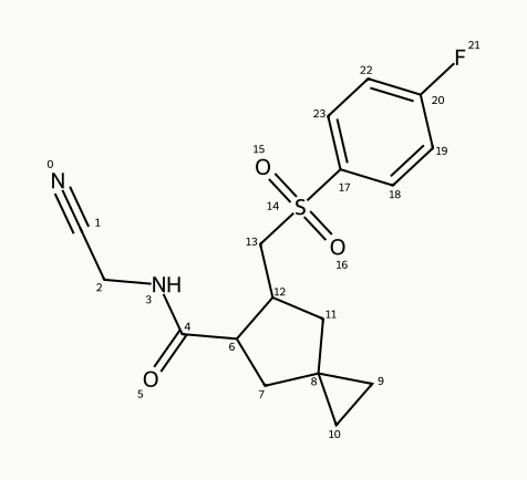 N#CCNC(=O)C1CC2(CC2)CC1CS(=O)(=O)c1ccc(F)cc1